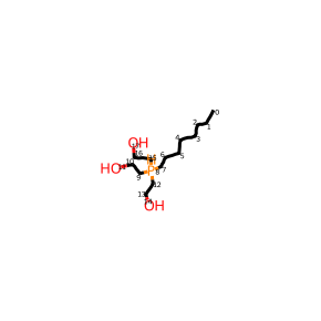 CCCCCCCC[PH](CCO)(CCO)CCO